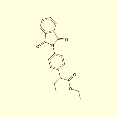 CCOC(=O)C(CC)c1ccc(N2C(=O)c3ccccc3C2=O)cc1